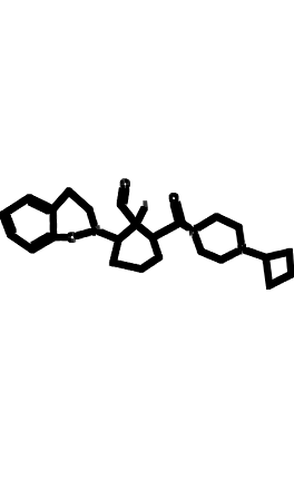 O=CC1(I)C(C(=O)N2CCN(C3CCC3)CC2)CCCC1N1CCc2ccccc2C1